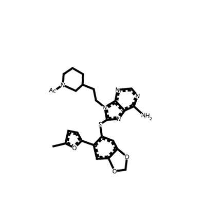 CC(=O)N1CCCC(CCn2c(Sc3cc4c(cc3-c3ccc(C)o3)OCO4)nc3c(N)ncnc32)C1